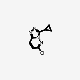 Clc1ccc2nnc(C3CC3)n2n1